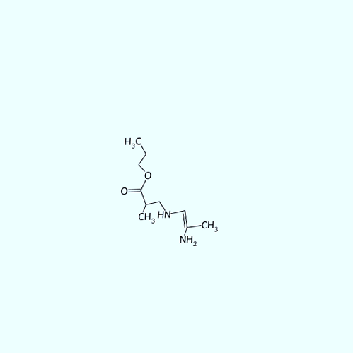 CCCOC(=O)C(C)CNC=C(C)N